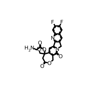 CCC1(OC(=O)CN)CC(=O)OCc2c1cc1n(c2=O)Cc2cc3cc(F)c(F)cc3nc2-1